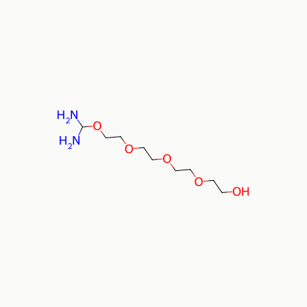 NC(N)OCCOCCOCCOCCO